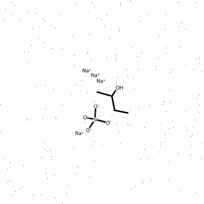 CCC(C)O.[Na+].[Na+].[Na+].[Na+].[O-][Si]([O-])([O-])[O-]